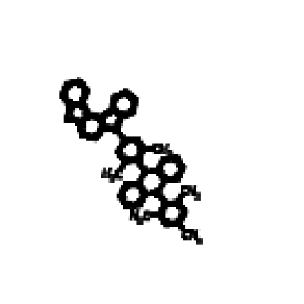 Cc1cc(C)c(B2c3ccccc3B(c3c(C)cc(-n4c5ccccc5c5c6c(ccc54)sc4ccccc46)cc3C)c3ccccc32)c(C)c1